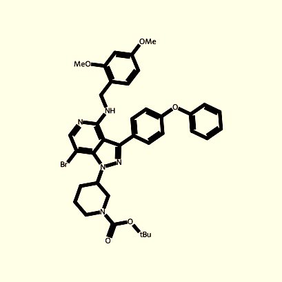 COc1ccc(CNc2ncc(Br)c3c2c(-c2ccc(Oc4ccccc4)cc2)nn3C2CCCN(C(=O)OC(C)(C)C)C2)c(OC)c1